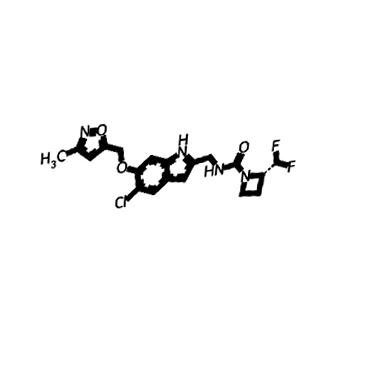 Cc1cc(COc2cc3[nH]c(CNC(=O)N4CC[C@H]4C(F)F)cc3cc2Cl)on1